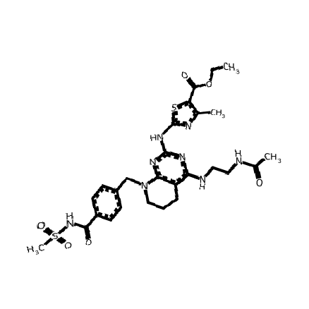 CCOC(=O)c1sc(Nc2nc(NCCNC(C)=O)c3c(n2)N(Cc2ccc(C(=O)NS(C)(=O)=O)cc2)CCC3)nc1C